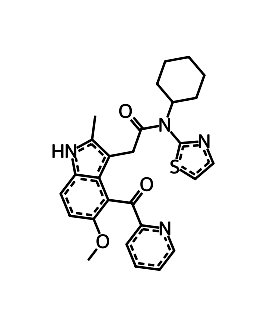 COc1ccc2[nH]c(C)c(CC(=O)N(c3nccs3)C3CCCCC3)c2c1C(=O)c1ccccn1